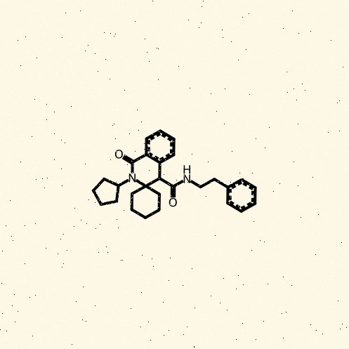 O=C(NCCc1ccccc1)C1c2ccccc2C(=O)N(C2CCCC2)C12CCCCC2